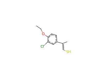 CCOc1ccc(/C(C)=C/S)cc1Cl